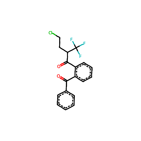 O=C(c1ccccc1)c1ccccc1C(=O)C(CCCl)C(F)(F)F